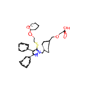 O=C(O)COCC1CCC(Cn2nc(-c3ccccc3)c(-c3ccccc3)c2SCCOC2CCCCO2)CC1